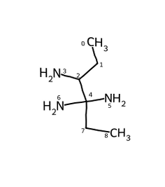 CCC(N)C(N)(N)CC